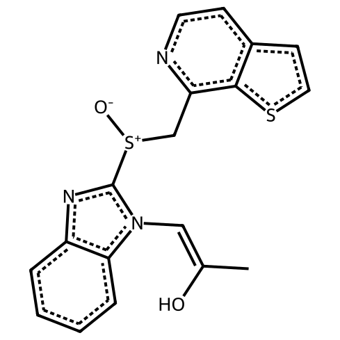 CC(O)=Cn1c([S+]([O-])Cc2nccc3ccsc23)nc2ccccc21